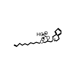 C=CCCCCCCCCOCC(CN1CCc2ccccc2C1)OS(=O)(=O)O